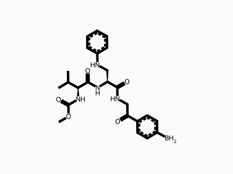 Bc1ccc(C(=O)CNC(=O)[C@H](CNc2ccccc2)NC(=O)[C@@H](NC(=O)OC)C(C)C)cc1